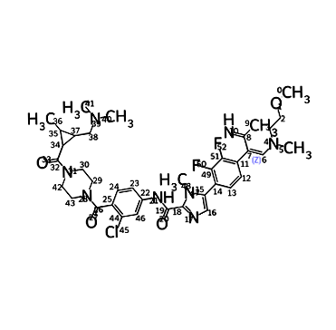 COCCN(C)/C=C(\C(C)=N)c1ccc(-c2cnc(C(=O)Nc3ccc(C(=O)N4CCN(C(=O)C5C(C)C5CN(C)C)CC4)c(Cl)c3)n2C)c(F)c1F